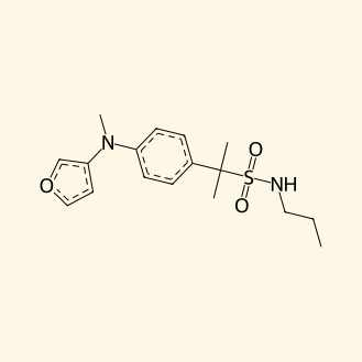 CCCNS(=O)(=O)C(C)(C)c1ccc(N(C)c2ccoc2)cc1